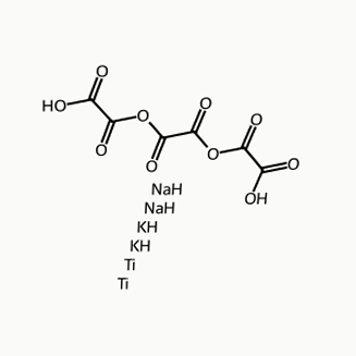 O=C(O)C(=O)OC(=O)C(=O)OC(=O)C(=O)O.[KH].[KH].[NaH].[NaH].[Ti].[Ti]